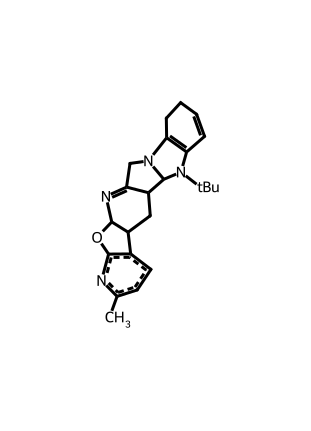 Cc1ccc2c(n1)OC1N=C3CN4C5=C(C=CCC5)N(C(C)(C)C)C4C3CC21